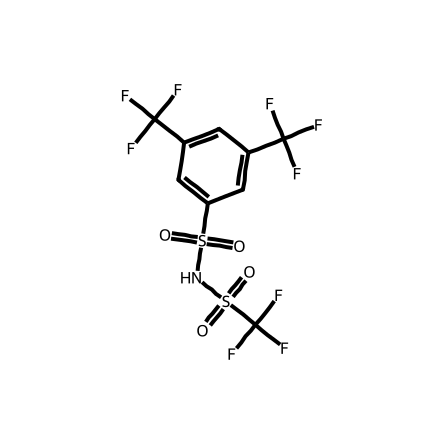 O=S(=O)(NS(=O)(=O)C(F)(F)F)c1cc(C(F)(F)F)cc(C(F)(F)F)c1